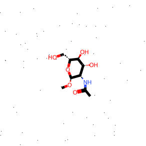 CO[C@@H]1O[C@H](CO)[C@@H](O)[C@H](O)[C@@H]1NC(C)=O